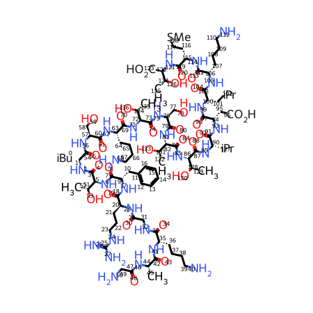 CC[C@H](C)[C@H](NC(=O)[C@@H](NC(=O)[C@H](Cc1ccccc1)NC(=O)[C@H](CCCNC(=N)N)NC(=O)CNC(=O)[C@H](CCCCN)NC(=O)[C@H](C)NC(=O)CN)[C@@H](C)O)C(=O)N[C@@H](CO)C(=O)N[C@@H](CCCCN)C(=O)N[C@H](C(=O)N[C@@H](CO)C(=O)N[C@H](C(=O)N[C@H](C(=O)N[C@H](C(=O)N[C@@H](CC(=O)O)C(=O)N[C@@H](CC(C)C)C(=O)N[C@@H](CCCCN)C(=O)N[C@@H](CCSC)C(=O)N[C@H](C(=O)O)[C@@H](C)O)C(C)C)[C@@H](C)O)[C@@H](C)O)[C@@H](C)O